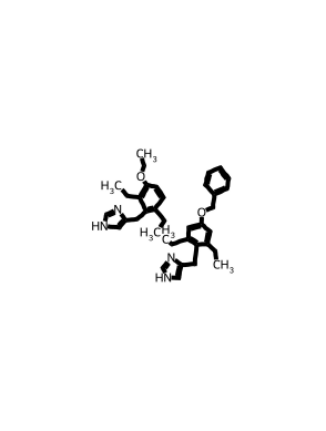 CCOc1ccc(CC)c(Cc2c[nH]cn2)c1CC.CCc1cc(OCc2ccccc2)cc(CC)c1Cc1c[nH]cn1